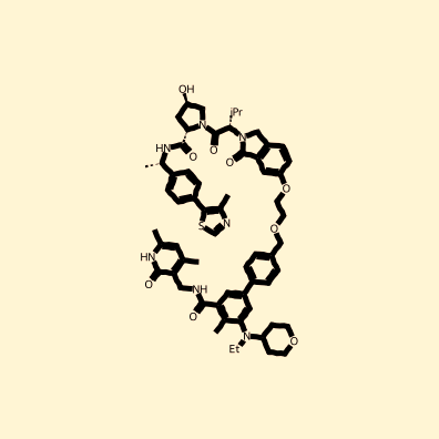 CCN(c1cc(-c2ccc(COCCOc3ccc4c(c3)C(=O)N([C@H](C(=O)N3C[C@H](O)C[C@H]3C(=O)N[C@@H](C)c3ccc(-c5scnc5C)cc3)C(C)C)C4)cc2)cc(C(=O)NCc2c(C)cc(C)[nH]c2=O)c1C)C1CCOCC1